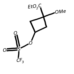 CCOC(=O)C1(OC)CC(OS(=O)(=O)C(F)(F)F)C1